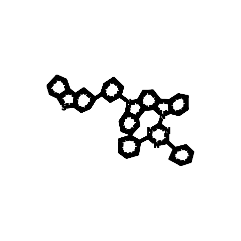 c1ccc(-c2nc(-c3ccccc3)nc(-n3c4ccccc4c4ccc5c(c6ccccc6n5-c5cccc(-c6ccc7sc8ccccc8c7c6)c5)c43)n2)cc1